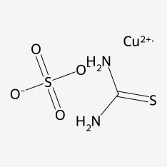 NC(N)=S.O=S(=O)([O-])[O-].[Cu+2]